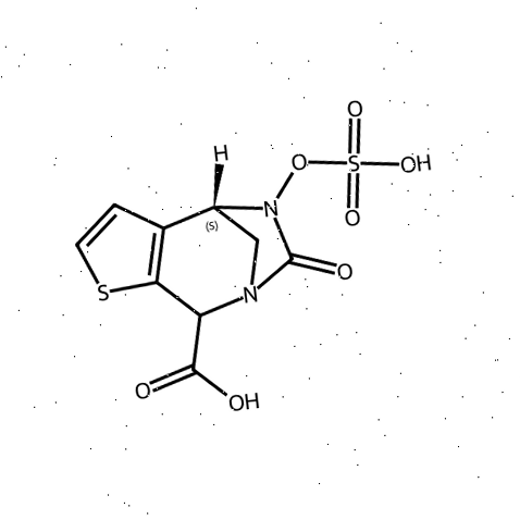 O=C(O)C1c2sccc2[C@H]2CN1C(=O)N2OS(=O)(=O)O